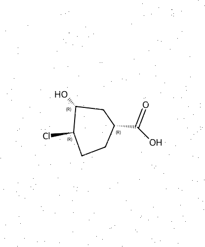 O=C(O)[C@@H]1CC[C@@H](Cl)[C@H](O)C1